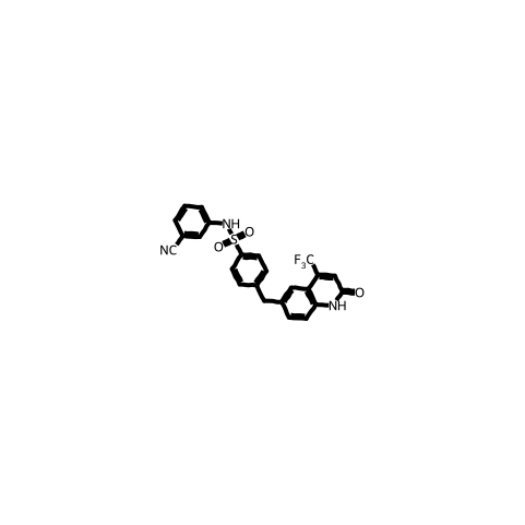 N#Cc1cccc(NS(=O)(=O)c2ccc(Cc3ccc4[nH]c(=O)cc(C(F)(F)F)c4c3)cc2)c1